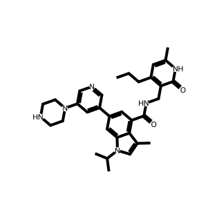 CCCc1cc(C)[nH]c(=O)c1CNC(=O)c1cc(-c2cncc(N3CCNCC3)c2)cc2c1c(C)cn2C(C)C